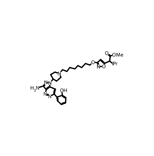 COC(=O)C(c1cc(OCCCCCCCCN2CCC(n3nc(N)c4nnc(-c5ccccc5O)cc43)CC2)no1)C(C)C